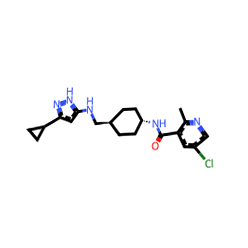 Cc1ncc(Cl)cc1C(=O)N[C@H]1CC[C@H](CNc2cc(C3CC3)n[nH]2)CC1